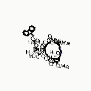 COc1cc2cc(c1Cl)N(C)C(=O)CC(OC(=O)C(C)N(C)C(=O)CONC(=O)OCC1c3ccccc3-c3ccccc31)C1(C)OC1C(C)C1CC(O)(NC(=O)O1)C(OC)/C=C/C=C(\C)C2